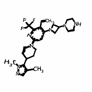 C=Cc1c(N2CC(N3CCNCC3)C2)cc(N2CCC(c3c(C)cnn3C)CC2)nc1C(F)(F)F